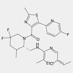 C\C=C(Cl)/C=N\C(NC[C@@H]1C(C)CC(F)(F)CN1C(=O)c1nc(C)sc1-c1ccc(F)cn1)=C(\C)CC